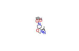 Cc1cnn2c1C1(CCN(C(=O)OC(C)(C)C)CC1)OCC2